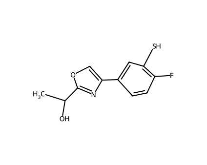 CC(O)c1nc(-c2ccc(F)c(S)c2)co1